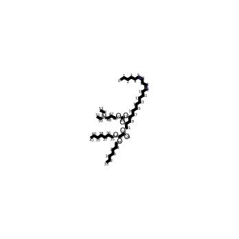 CCCCC/C=C\C/C=C\CCCCCCCCC(CCCOC(=O)C(OCCCCCCC)OCCCCCCC)OC(=O)OCCCN(CC)CC